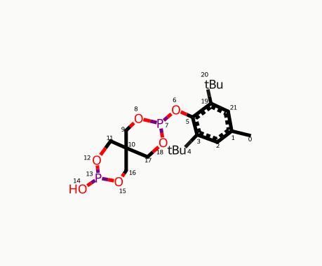 Cc1cc(C(C)(C)C)c(OP2OCC3(COP(O)OC3)CO2)c(C(C)(C)C)c1